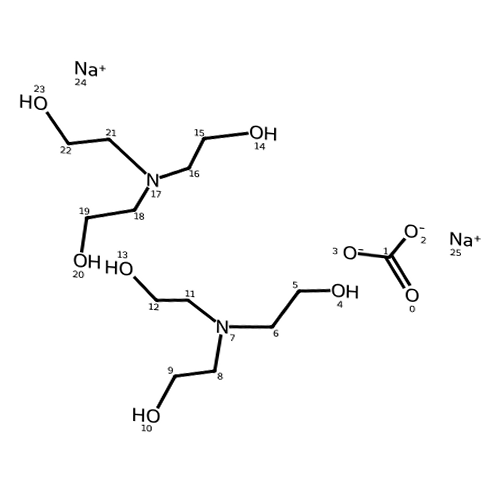 O=C([O-])[O-].OCCN(CCO)CCO.OCCN(CCO)CCO.[Na+].[Na+]